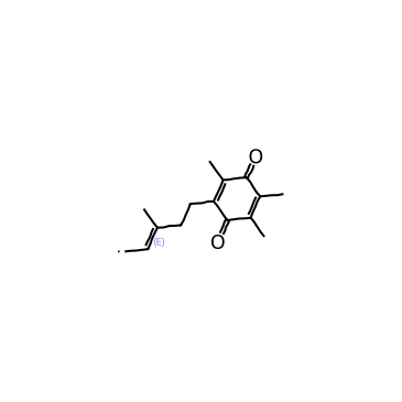 [CH2]/C=C(\C)CCC1=C(C)C(=O)C(C)=C(C)C1=O